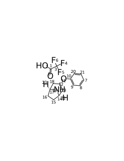 O=C(O)C(F)(F)F.c1ccc(O[C@@H]2C[C@H]3CC[C@@H](C2)N3)cc1